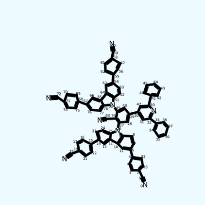 N#Cc1ccc(-c2ccc3c(c2)c2cc(-c4ccc(C#N)cc4)ccc2n3-c2cc(-c3cc(-c4ccccc4)nc(-c4ccccc4)c3)cc(-n3c4ccc(-c5ccc(C#N)cc5)cc4c4cc(-c5ccc(C#N)cc5)ccc43)c2C#N)cc1